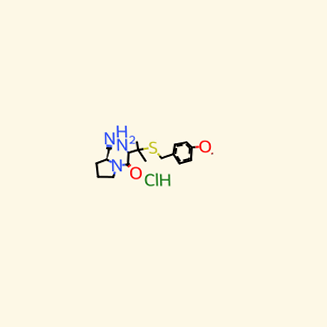 COc1ccc(CSC(C)(C)[C@H](N)C(=O)N2CCC[C@H]2C#N)cc1.Cl